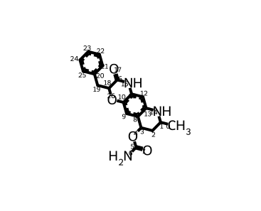 CC1CC(OC(N)=O)c2cc3c(cc2N1)NC(=O)C(Cc1ccccc1)O3